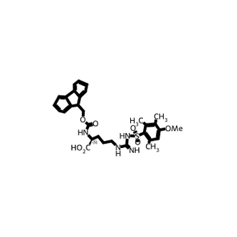 COc1cc(C)c(S(=O)(=O)NC(=N)NCCC[C@H](NC(=O)OCC2c3ccccc3-c3ccccc32)C(=O)O)c(C)c1C